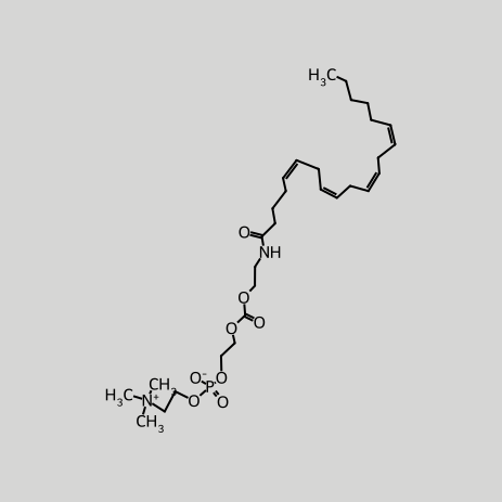 CCCCC/C=C\C/C=C\C/C=C\C/C=C\CCCC(=O)NCCOC(=O)OCCOP(=O)([O-])OCC[N+](C)(C)C